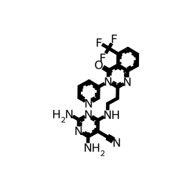 N#Cc1c(N)nc(N)nc1NCCc1nc2cccc(C(F)(F)F)c2c(=O)n1-c1cccnc1